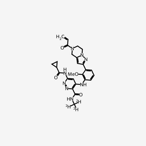 [2H]C([2H])([2H])NC(=O)c1nnc(NC(=O)C2CC2)cc1Nc1cccc(-c2cc3n(n2)CCN(C(=O)C=C)C3)c1OC